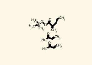 C=C(CCC)C(=O)OO[Si](C)(C)C.C=CC(=O)O.C=CC(=O)O